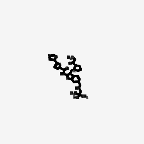 C=CC(=O)N1CCC[C@@H]1Cn1c(NC(=O)c2ccc(-c3cnco3)s2)nc2cc(CNCC(C)(C)O)ccc21